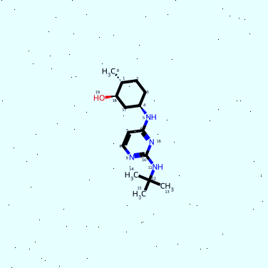 C[C@@H]1CC[C@@H](Nc2ccnc(NC(C)(C)C)n2)C[C@H]1O